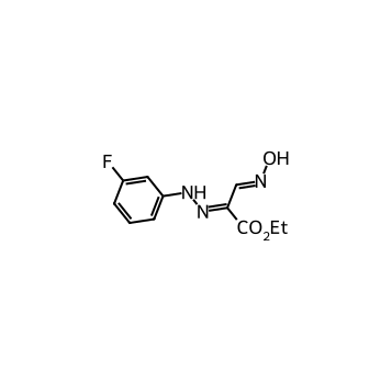 CCOC(=O)C(C=NO)=NNc1cccc(F)c1